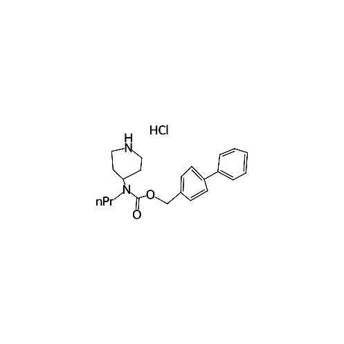 CCCN(C(=O)OCc1ccc(-c2ccccc2)cc1)C1CCNCC1.Cl